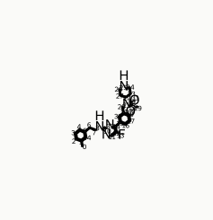 Cc1cccc(CCNc2ncc(F)c(-c3cccc(CN(C4CCNCC4)S(C)(=O)=O)c3)n2)c1